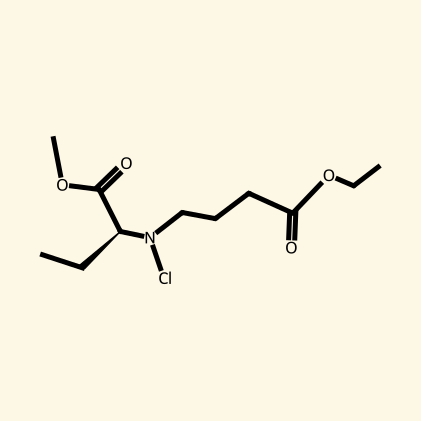 CCOC(=O)CCCN(Cl)[C@@H](CC)C(=O)OC